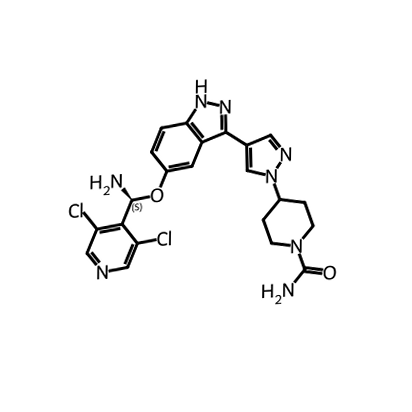 NC(=O)N1CCC(n2cc(-c3n[nH]c4ccc(O[C@H](N)c5c(Cl)cncc5Cl)cc34)cn2)CC1